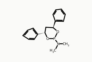 CN(C)P1O[C@H](c2ccccc2)C[C@@H](c2ccccc2)O1